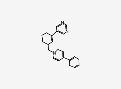 C1=CCC(C2=CCN(CC3C=C(c4cncnc4)CCC3)C=C2)=CC1